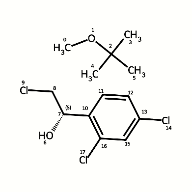 COC(C)(C)C.O[C@H](CCl)c1ccc(Cl)cc1Cl